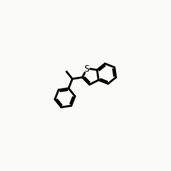 C[C](c1ccccc1)c1cc2ccccc2s1